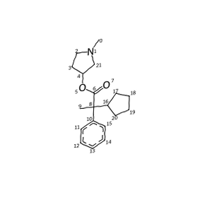 CN1CCC(OC(=O)C(C)(c2ccccc2)C2CCCC2)C1